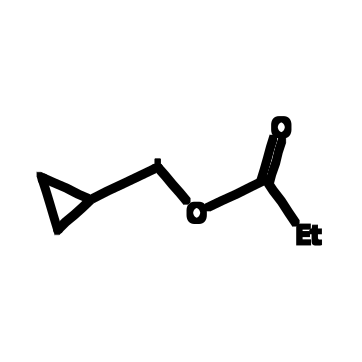 CCC(=O)O[CH]C1CC1